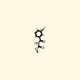 COC(=O)NC(=O)c1cccc(I)c1